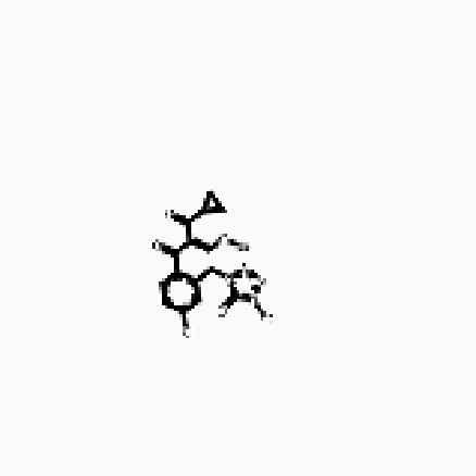 CCOC=C(C(=O)c1ccc(Cl)cc1Cn1nnn(CC)c1=O)C(=O)C1CC1